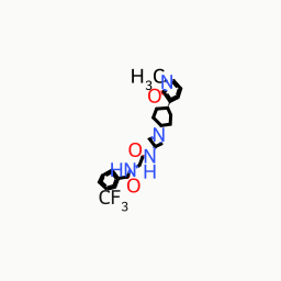 Cn1cccc([C@H]2CC[C@@H](N3CC(NC(=O)CNC(=O)c4cccc(C(F)(F)F)c4)C3)CC2)c1=O